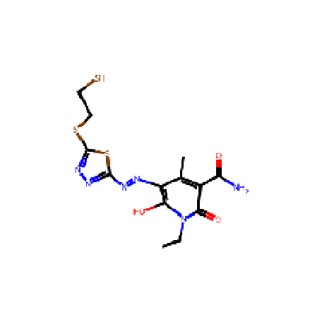 CCn1c(O)c(/N=N/c2nnc(SCCS)s2)c(C)c(C(N)=O)c1=O